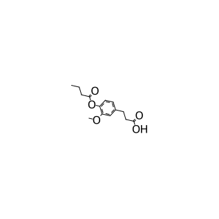 CCCC(=O)Oc1ccc(CCC(=O)O)cc1OC